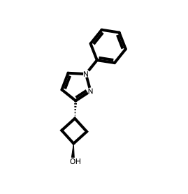 O[C@H]1C[C@H](c2ccn(-c3ccccc3)n2)C1